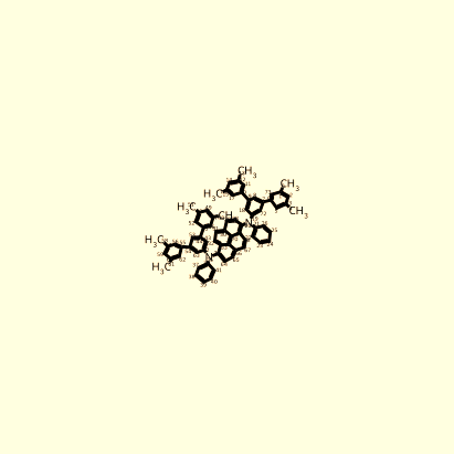 Cc1cc(C)cc(-c2cc(-c3cc(C)cc(C)c3)cc(N(c3ccccc3)c3ccc4ccc5c(N(c6ccccc6)c6cc(-c7cc(C)cc(C)c7)cc(-c7cc(C)cc(C)c7)c6)ccc6ccc3c4c65)c2)c1